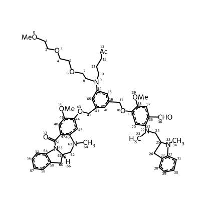 COCCOCCOCCN(CCCC(C)=O)c1cc(COc2cc(N(C)CC3Cc4ccccc4N3C)c(C=O)cc2OC)cc(COc2cc3c(cc2OC)C(=O)N2c4ccccc4C[C@H]2CN3C)c1